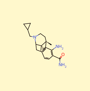 C[C@H]1C2Cc3ccc(C(N)=O)c(N)c3[C@@]1(C)CCN2CC1CC1